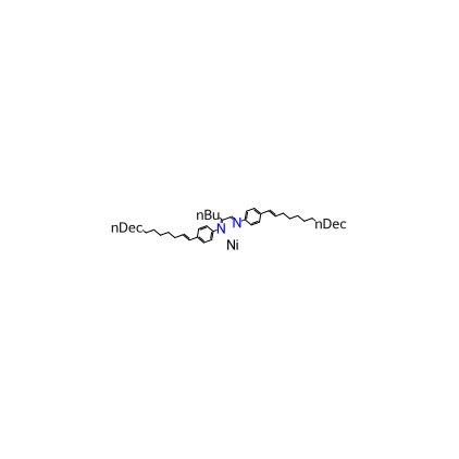 CCCCCCCCCCCCCCCC=Cc1ccc(N=CC(CCCC)=Nc2ccc(C=CCCCCCCCCCCCCCCC)cc2)cc1.[Ni]